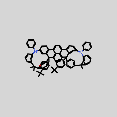 CC(C)(C)c1ccc(C23c4ccc(cc4)C(C)(C)c4cccc(c4)N(c4ccccc4)c4ccc(c2c4)-c2ccc4c5c(ccc3c25)C2(c3ccc(C(C)(C)C)cc3)c3ccc(cc3)C3(C)c5cccc(c53)N(c3ccccc3)c3ccc-4c2c3)cc1